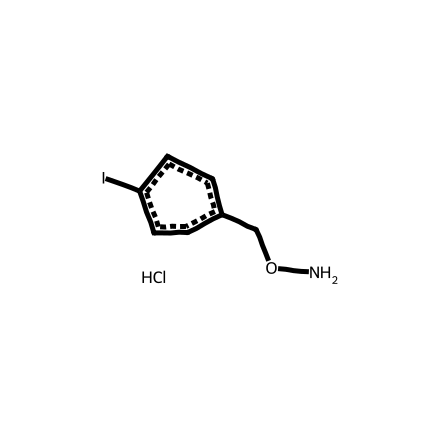 Cl.NOCc1ccc(I)cc1